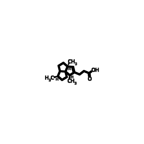 C[C@@H]1CCC23C1CC[C@@]2(C)C=C(CCC(=O)O)[C@H]3C